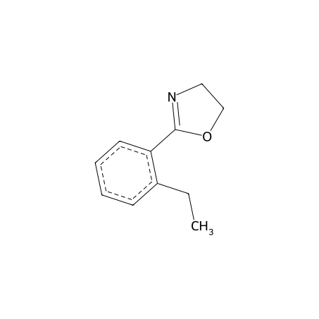 CCc1ccccc1C1=NCCO1